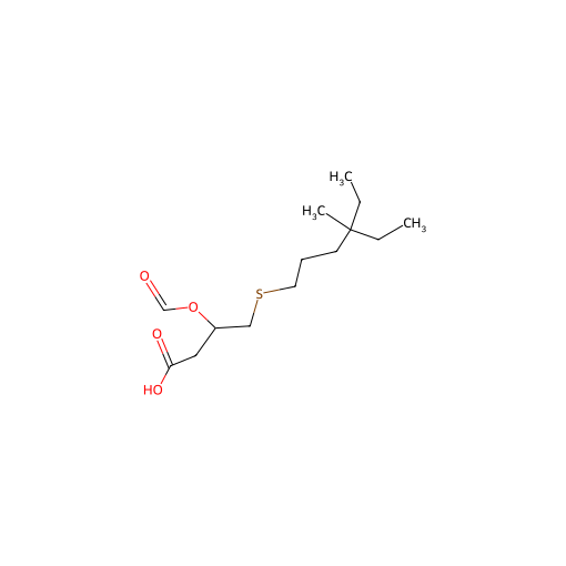 CCC(C)(CC)CCCSCC(CC(=O)O)OC=O